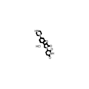 Cl.O=C1CCC(N2Cc3c(oc4cc(N5CCNCC5)ccc34)C2=O)C(=O)N1